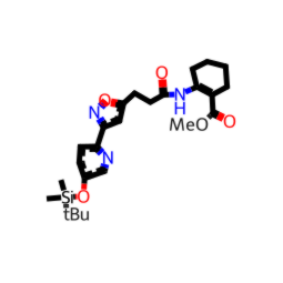 COC(=O)C1=C(NC(=O)CCc2cc(-c3ccc(O[Si](C)(C)C(C)(C)C)cn3)no2)CCCC1